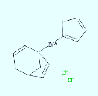 C1=CC[C]([Zr+2][C]23C=CCC(C=C2)C3)=C1.[Cl-].[Cl-]